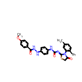 Cc1ccc(C(C)C)c(N2C(=O)CS/C2=N\C(=O)Nc2ccc(NNC(=O)c3ccc(OC(F)(F)F)cc3)cc2)c1